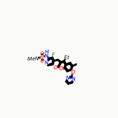 CCc1c(Cc2ccnc(NS(=O)(=O)NC)c2F)c(=O)oc2cc(Oc3ncccn3)c(C)cc12